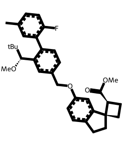 COC(=O)[C@H]1CC[C@]12CCc1ccc(OCc3ccc(-c4cc(C)ccc4F)c([C@H](OC)C(C)(C)C)c3)cc12